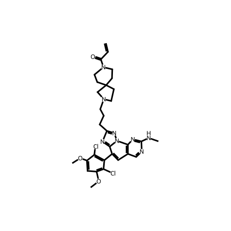 C=CC(=O)N1CCC2(CCN(CCCc3nc4c(-c5c(Cl)c(OC)cc(OC)c5Cl)cc5cnc(NC)nc5n4n3)C2)CC1